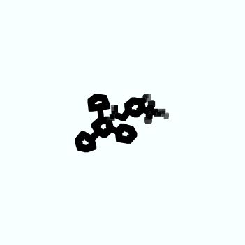 NS(=O)(=O)c1cc(CN[n+]2c(-c3ccccc3)cc(-c3ccccc3)cc2-c2ccccc2)ccc1Cl